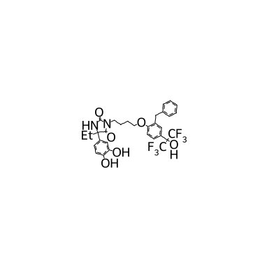 CCC1(c2ccc(O)c(O)c2)NC(=O)N(CCCCOc2ccc(C(O)(C(F)(F)F)C(F)(F)F)cc2Cc2ccccc2)C1=O